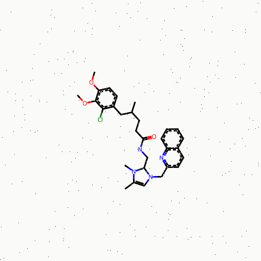 COc1ccc(CC(C)CCC(=O)[N]CC2N(Cc3ccc4ccccc4n3)C=C(C)N2C)c(Cl)c1OC